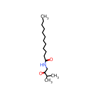 CCCCCCCCCCCC(=O)NCC(=O)C(C)C